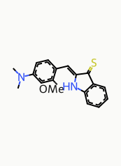 COc1cc(N(C)C)ccc1/C=C1\Nc2ccccc2C1=S